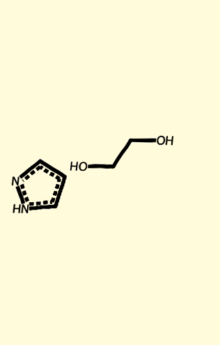 OCCO.c1cn[nH]c1